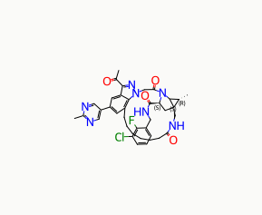 CC(=O)c1nn2c3c(cc(-c4cnc(C)nc4)cc13)CCCCCCC(=O)NC[C@@]13C[C@@H](C(=O)NCc4cccc(Cl)c4F)N(C(=O)C2)C1[C@@H]3C